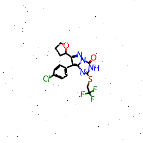 O=c1[nH]c(SCC(F)(F)F)nc2c(-c3ccc(Cl)cc3)c(C3CCCO3)nn12